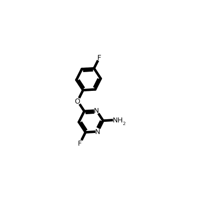 Nc1nc(F)cc(Oc2ccc(F)cc2)n1